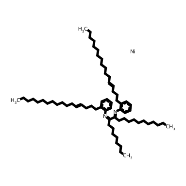 CCCCCCCCCCCCC=CCCCc1ccccc1N=C(CCCCCCCC)C(CCCCCCCCCCC)=Nc1ccccc1CCCC=CCCCCCCCCCCCC.[Ni]